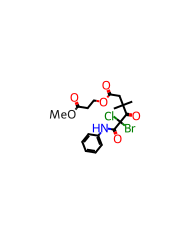 COC(=O)CCOC(=O)CC(C)(C)C(=O)C(Cl)(Br)C(=O)Nc1ccccc1